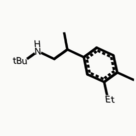 CCc1cc(C(C)CNC(C)(C)C)ccc1C